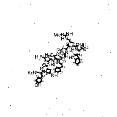 CNC(=N)NCCC[C@H](NC(=O)[C@H](CC(C)C)NC(=O)COC[C@H](Cc1ccccc1)NC(=O)[C@@H](NC(=O)[C@H](CC(N)=O)NC(=O)[C@@H]1C[C@@H](O)CN1C(=O)[C@@H](Cc1ccc(O)cc1)NC(C)=O)[C@@H](C)O)C(=O)N[C@@H](Cc1c[nH]c2ccccc12)C(N)=O